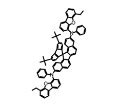 CCc1cccc2c1oc1c(N(c3ccccc3)c3ccc4c5c(ccc4c3)-c3ccc4cc(N(c6ccccc6)c6cccc7c6oc6c(CC)cccc67)ccc4c3C53c4ccc(C(C)(C)C)cc4-c4cc(C(C)(C)C)ccc43)cccc12